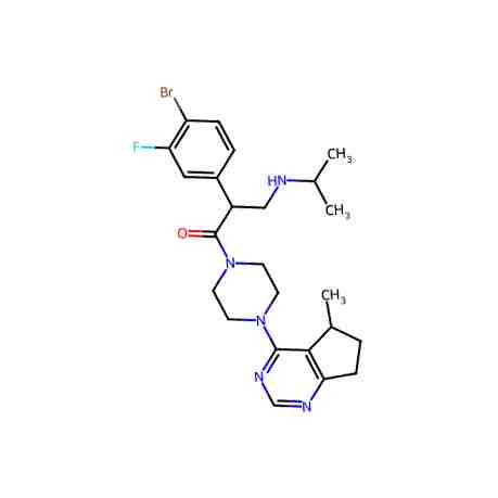 CC(C)NCC(C(=O)N1CCN(c2ncnc3c2C(C)CC3)CC1)c1ccc(Br)c(F)c1